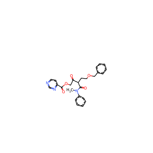 CN(C(=O)C(CCOCc1ccccc1)C(=O)COC(=O)c1ccncn1)c1ccccc1